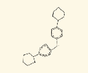 [CH](c1ccc(C2CCCCC2)cc1)c1ccc(C2CCCCC2)cc1